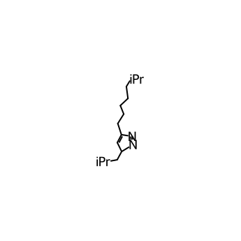 CC(C)CCCCCC1=CC(CC(C)C)N=N1